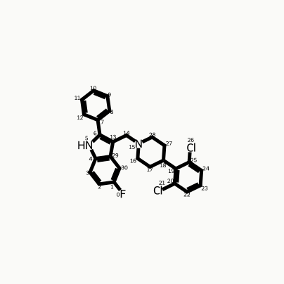 Fc1ccc2[nH]c(-c3ccccc3)c(CN3CCC(c4c(Cl)cccc4Cl)CC3)c2c1